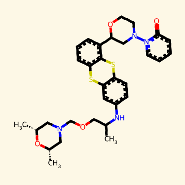 CC(COCN1C[C@@H](C)O[C@@H](C)C1)Nc1ccc2c(c1)Sc1cccc(C3CN(n4ccccc4=O)CCO3)c1S2